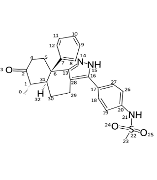 C[C@@H]1C(=O)CC[C@]2(c3ccccc3)c3n[nH]c(-c4ccc(NS(C)(=O)=O)cc4)c3CC[C@@H]12